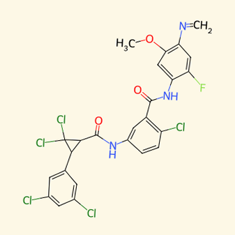 C=Nc1cc(F)c(NC(=O)c2cc(NC(=O)C3C(c4cc(Cl)cc(Cl)c4)C3(Cl)Cl)ccc2Cl)cc1OC